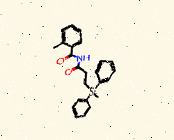 Cc1ccccc1C(=O)NC(=O)CC[Si](C)(c1ccccc1)c1ccccc1